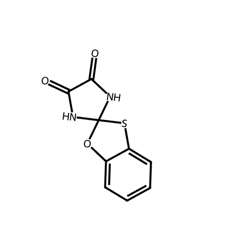 O=C1NC2(NC1=O)Oc1ccccc1S2